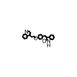 O=C1Nc2ccccc2C1=Cc1ccc(OCCc2ccnc3ccccc23)cc1